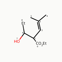 CCOC(=O)C(C=C(C)C)C(O)CC